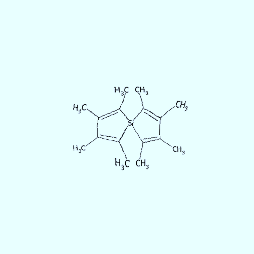 CC1=C(C)[Si]2(C(C)=C1C)C(C)=C(C)C(C)=C2C